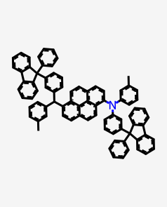 Cc1cccc(C(c2cccc(C3(c4ccccc4)c4ccccc4-c4ccccc43)c2)c2ccc3ccc4c(N(c5cccc(C)c5)c5cccc(C6(c7ccccc7)c7ccccc7-c7ccccc76)c5)ccc5ccc2c3c54)c1